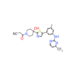 Cc1cc(Nc2nccc(C(F)(F)F)n2)cc(-c2cnc(C3(O)CCN(C(=O)CC#N)CC3)s2)c1